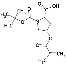 C=C(C)C(=O)O[C@H]1C[C@@H](C(=O)O)N(C(=O)OC(C)(C)C)C1